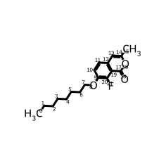 CCCCCCCCOc1ccc2cc(C)oc(=O)c2c1F